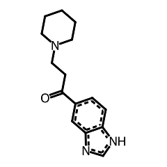 O=C(CCN1CCCCC1)c1ccc2[nH]cnc2c1